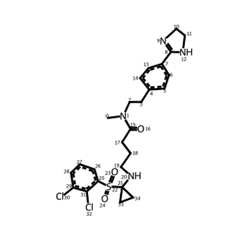 CN(CCc1ccc(C2=NCCN2)cc1)C(=O)CCCNC1(S(=O)(=O)c2cccc(Cl)c2Cl)CC1